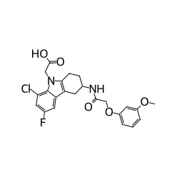 COc1cccc(OCC(=O)NC2CCc3c(c4cc(F)cc(Cl)c4n3CC(=O)O)C2)c1